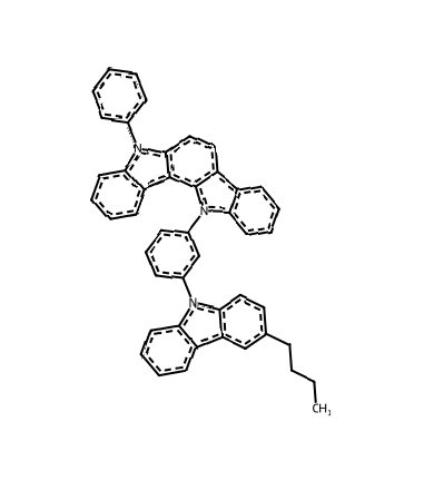 CCCCc1ccc2c(c1)c1ccccc1n2-c1cccc(-n2c3ccccc3c3ccc4c(c5ccccc5n4-c4ccccc4)c32)c1